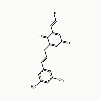 Cc1cc(C)cc(C=CCC2=CC(=O)C=C(/C=C/C(C)C)C2=O)c1